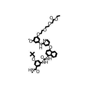 CCOC(=O)COCCOCCOc1cc(Nc2cc(Oc3ccc(NC(=O)Nc4cc(OCC(C)(C)C)cc(C(=O)NC)c4)c4ccccc34)ccn2)cc(OC)c1